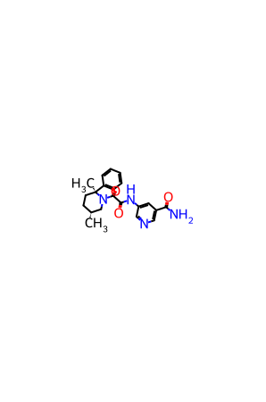 C[C@@H]1CC[C@@](C)(c2ccccc2)N(C(=O)C(=O)Nc2cncc(C(N)=O)c2)C1